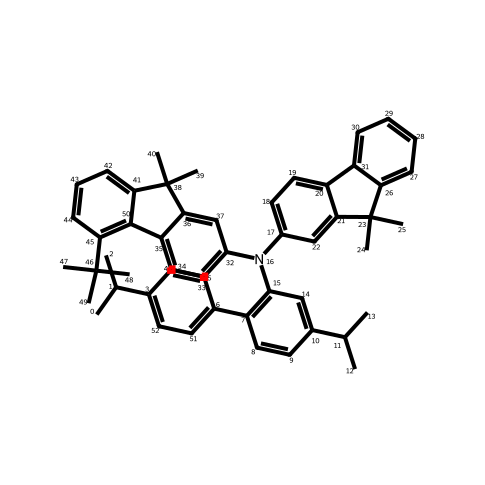 CC(C)c1ccc(-c2ccc(C(C)C)cc2N(c2ccc3c(c2)C(C)(C)c2ccccc2-3)c2ccc3c(c2)C(C)(C)c2cccc(C(C)(C)C)c2-3)cc1